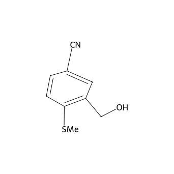 CSc1ccc(C#N)cc1CO